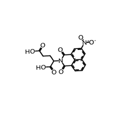 O=C(O)CCC(C(=O)O)N1C(=O)c2cccc3cc([N+](=O)[O-])cc(c23)C1=O